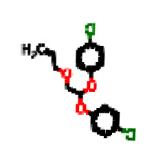 C=CCOCC(Oc1ccc(Cl)cc1)Oc1ccc(Cl)cc1